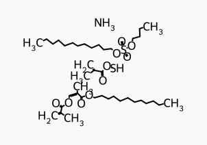 C=C(C)C(=O)OC=C(C)C(=O)OCCCCCCCCCCCC.C=C(C)C(=O)OS.CCCCCCCCCCCCOS(=O)(=O)OCCCC.N